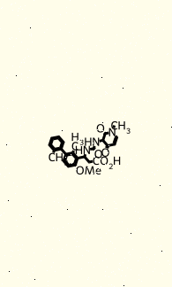 COc1ccc(-c2ccccc2C)c(C)c1C(CC(=O)O)NC(=O)NC1C(=O)C=CN(C)C1=O